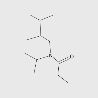 CCC(=O)N(CC(C)C(C)C)C(C)C